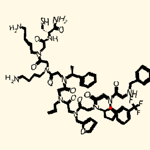 C=CCN(CC(=O)N(CC(=O)N(CCCCN)CC(=O)N(CCCCN)CC(=O)N[C@H](CS)C(N)=O)[C@@H](C)c1ccccc1)C(=O)CN(Cc1ccco1)C(=O)CN(C(=O)CN(Cc1cccc(C(F)(F)F)c1)C(=O)CNCc1ccccc1)C1CCCC1